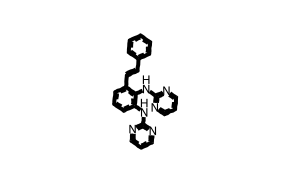 C(=Cc1cccc(Nc2ncccn2)c1Nc1ncccn1)c1ccccc1